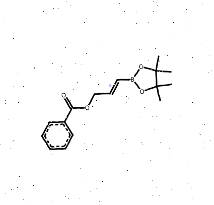 CC1(C)OB(/C=C/COC(=O)c2ccccc2)OC1(C)C